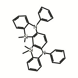 C[Si]1(C)c2ccccc2N(c2ccccc2)c2ccc3c(c21)[Si](C)(C)c1ccccc1N3c1ccccc1